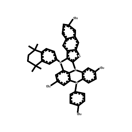 CC(C)(C)c1ccc(N2c3ccc(C(C)(C)C)cc3B3c4sc5cc6cc(C(C)(C)C)ccc6cc5c4N(c4ccc5c(c4)C(C)(C)CCC5(C)C)c4cc(C(C)(C)C)cc2c43)cc1